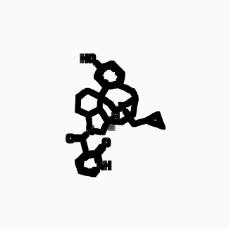 O=C(c1ccc[nH]c1=O)N1C[C@H]2CCC3Cc4ccc(O)cc4C4(CCCC1C24)CCN3CC1CC1